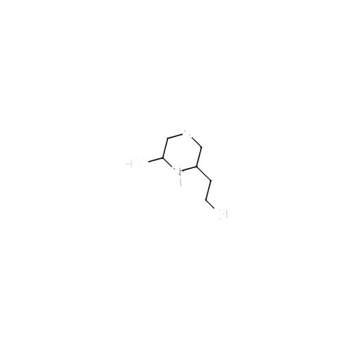 CC1CSCC(CCO)N1